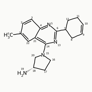 Cc1ccc2nc(C3CC=CCC3)nc(N3CC[C@H](N)C3)c2c1